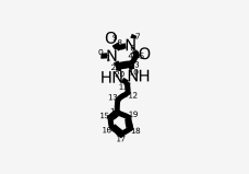 Cn1c2c(c(=O)n(C)c1=O)NC(CCc1ccccc1)N2